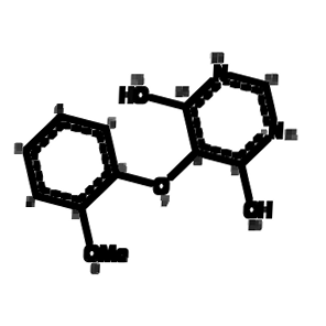 COc1ccccc1Oc1c(O)ncnc1O